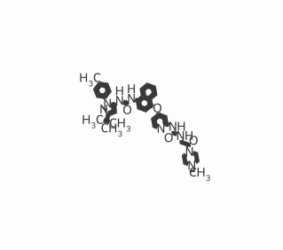 Cc1ccc(-n2nc(C(C)(C)C)cc2NC(=O)Nc2ccc(Oc3ccnc(NC(=O)NCC(=O)N4CCN(C)CC4)c3)c3ccccc23)cc1